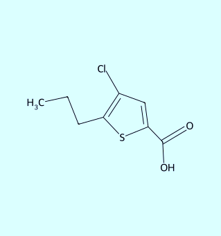 CCCc1sc(C(=O)O)cc1Cl